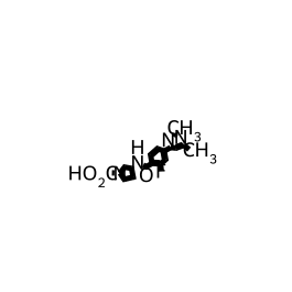 Cc1cc(-c2ccc(C(=O)N[C@@H]3CCN(C(=O)O)C3)c(F)c2)nc(C)n1